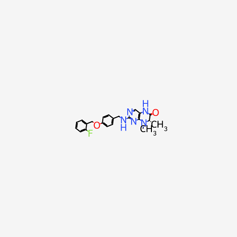 C[C@H]1C(=O)Nc2cnc(NCc3ccc(OCc4ccccc4F)cc3)nc2N1C